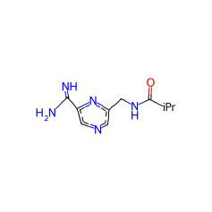 CC(C)C(=O)NCc1cncc(C(=N)N)n1